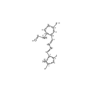 Cc1cc(C)c(/C=N/N=C/c2cc(F)ccc2NC=O)[nH]1